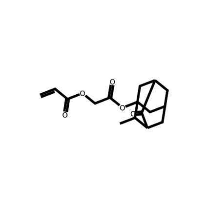 C=CC(=O)OCC(=O)OC12CC3CC(C1)C(=O)C(C3)C2C